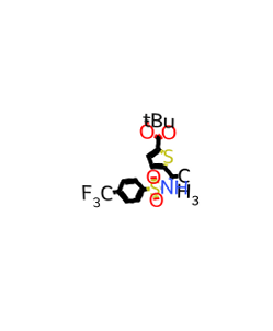 CC(NS(=O)(=O)c1ccc(C(F)(F)F)cc1)c1ccc(C(=O)OC(C)(C)C)s1